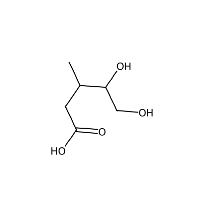 CC(CC(=O)O)C(O)CO